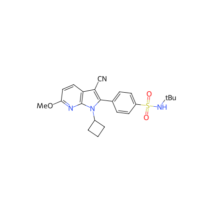 COc1ccc2c(C#N)c(-c3ccc(S(=O)(=O)NC(C)(C)C)cc3)n(C3CCC3)c2n1